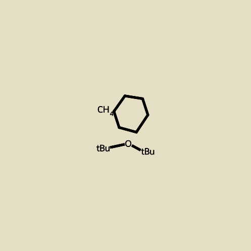 C.C1CCCCC1.CC(C)(C)OC(C)(C)C